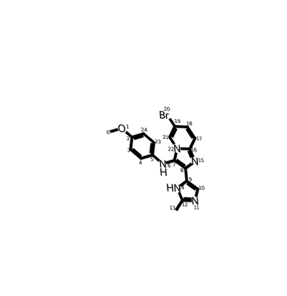 COc1ccc(Nc2c(-c3cnc(C)[nH]3)nc3ccc(Br)cn23)cc1